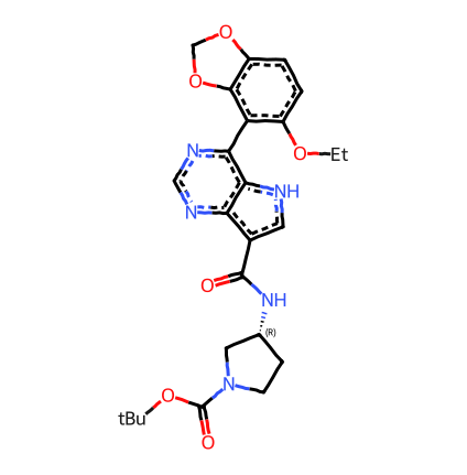 CCOc1ccc2c(c1-c1ncnc3c(C(=O)N[C@@H]4CCN(C(=O)OC(C)(C)C)C4)c[nH]c13)OCO2